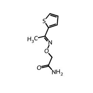 CC(=NOCC(N)=O)c1cccs1